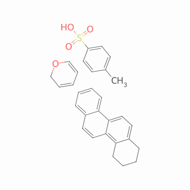 C1=CCOC=C1.Cc1ccc(S(=O)(=O)O)cc1.c1ccc2c(c1)ccc1c3c(ccc12)CCCC3